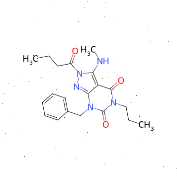 CCCC(=O)n1nc2c(c1NC)c(=O)n(CCC)c(=O)n2Cc1ccccc1